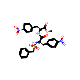 COC(=O)[C@H](Cc1ccc([N+](=O)[O-])cc1)NC(=O)[C@@H](Cc1ccc([N+](=O)[O-])cc1)NS(=O)(=O)Cc1ccccc1